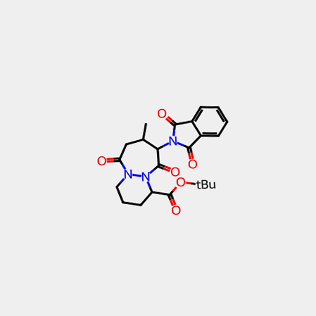 CC1CC(=O)N2CCCC(C(=O)OC(C)(C)C)N2C(=O)C1N1C(=O)c2ccccc2C1=O